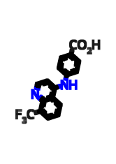 O=C(O)c1ccc(Nc2ccnc3c(C(F)(F)F)cccc23)cc1